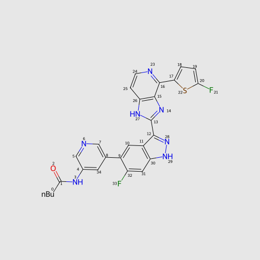 CCCCC(=O)Nc1cncc(-c2cc3c(-c4nc5c(-c6ccc(F)s6)nccc5[nH]4)n[nH]c3cc2F)c1